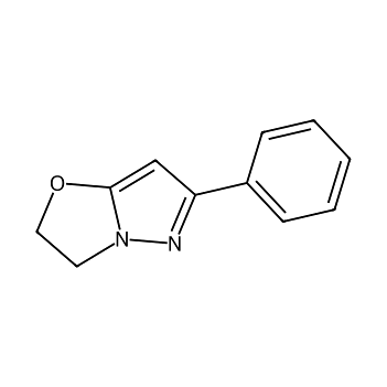 c1ccc(-c2cc3n(n2)CCO3)cc1